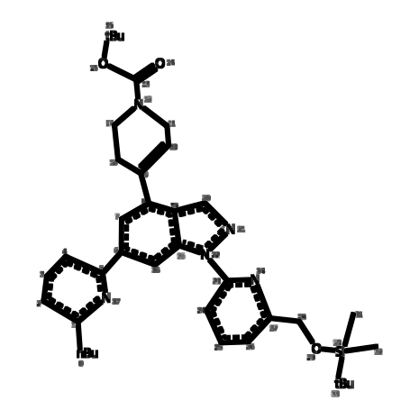 CCCCc1cccc(-c2cc(C3=CCN(C(=O)OC(C)(C)C)CC3)c3cnn(-c4cccc(CO[Si](C)(C)C(C)(C)C)n4)c3c2)n1